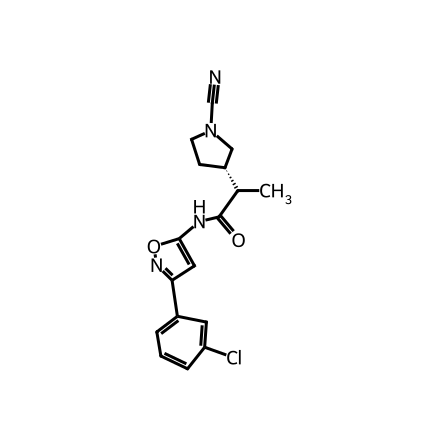 CC(C(=O)Nc1cc(-c2cccc(Cl)c2)no1)[C@@H]1CCN(C#N)C1